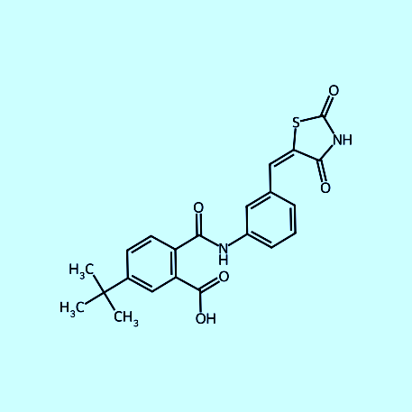 CC(C)(C)c1ccc(C(=O)Nc2cccc(C=C3SC(=O)NC3=O)c2)c(C(=O)O)c1